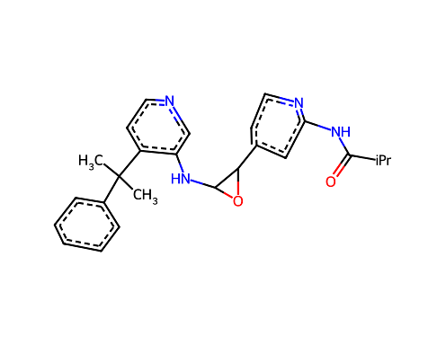 CC(C)C(=O)Nc1cc(C2OC2Nc2cnccc2C(C)(C)c2ccccc2)ccn1